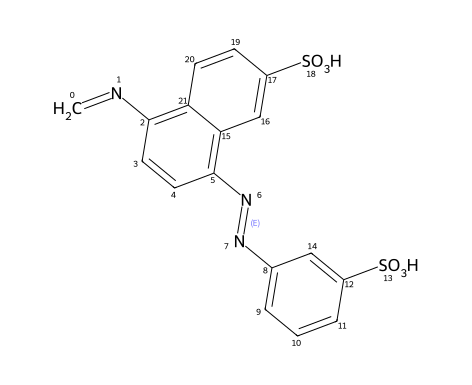 C=Nc1ccc(/N=N/c2cccc(S(=O)(=O)O)c2)c2cc(S(=O)(=O)O)ccc12